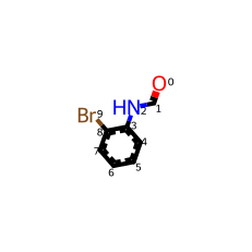 O=CNc1ccccc1Br